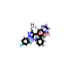 Cc1nn(-c2ccc(F)cc2F)c(NC2(C)C=CC=CC2C(=O)O)c1-c1cc(F)c2nccnc2c1